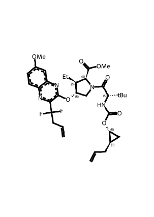 C=CC[C@@H]1C[C@H]1OC(=O)N[C@H](C(=O)N1C[C@H](Oc2nc3cc(OC)ccc3nc2C(F)(F)CC=C)[C@@H](CC)[C@H]1C(=O)OC)C(C)(C)C